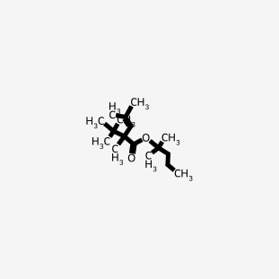 CCCC(C)(C)OC(=O)C(C)(C=C(C)C)C(C)(C)C